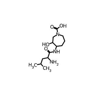 CC(C)CC(N)C(=O)NC1CCCN(C(=O)O)CC1O